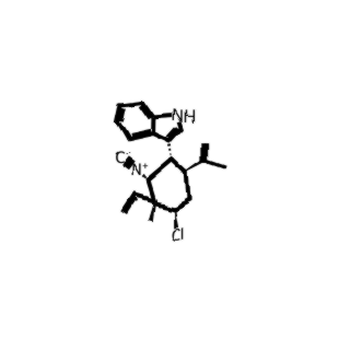 [C-]#[N+][C@@H]1[C@H](c2c[nH]c3ccccc23)[C@@H](C(=C)C)C[C@@H](Cl)[C@]1(C)C=C